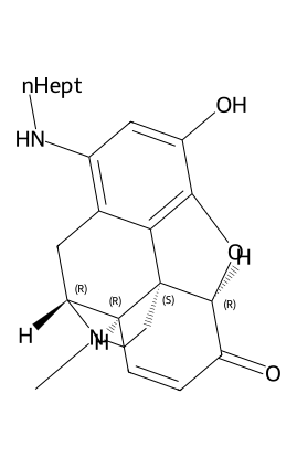 CCCCCCCNc1cc(O)c2c3c1C[C@@H]1[C@@H]4C=CC(=O)[C@H](O2)[C@]34CCN1C